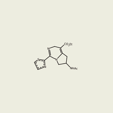 CCOC(=O)C1=C2CC(NC(C)=O)CN2C(c2nccs2)=NC1